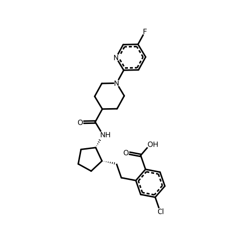 O=C(O)c1ccc(Cl)cc1CC[C@@H]1CCC[C@@H]1NC(=O)C1CCN(c2ccc(F)cn2)CC1